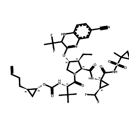 C=CCC[C@@H]1C[C@H]1OC(=O)N[C@H](C(=O)N1C[C@H](OC2=Nc3cc(C#N)ccc3NC2C(C)(F)F)[C@@H](CC)[C@H]1C(=O)N[C@]1(C(=O)NS(=O)(=O)C2(C)CC2)C[C@H]1C(F)F)C(C)(C)C